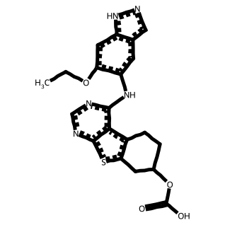 CCOc1cc2[nH]ncc2cc1Nc1ncnc2sc3c(c12)CCC(OC(=O)O)C3